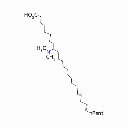 CCCCCC=CCC=CCCCCCCCCCC(CCCCCCCC(=O)O)N(C)C